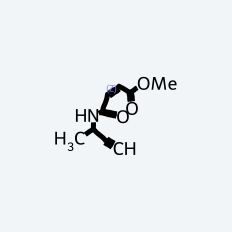 C#CC(C)NC(=O)/C=C\C(=O)OC